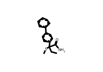 CCC(SC)(C(N)=O)c1ccc(-c2ccccc2)cc1